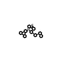 c1cc(-c2ccc(N(c3ccc4c5ccccc5c5ccccc5c4c3)c3cccc4sc5ccccc5c34)cc2)cc(-c2cccc3ccccc23)c1